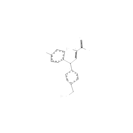 CCc1ccc(C(/C=C(\C)C(=O)O)c2ccc(F)cc2)cc1